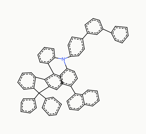 c1ccc(-c2cccc(-c3ccc(N(c4ccc(-c5cccc6ccccc56)cc4)c4ccccc4-c4cccc5c4-c4ccccc4C5(c4ccccc4)c4ccccc4)cc3)c2)cc1